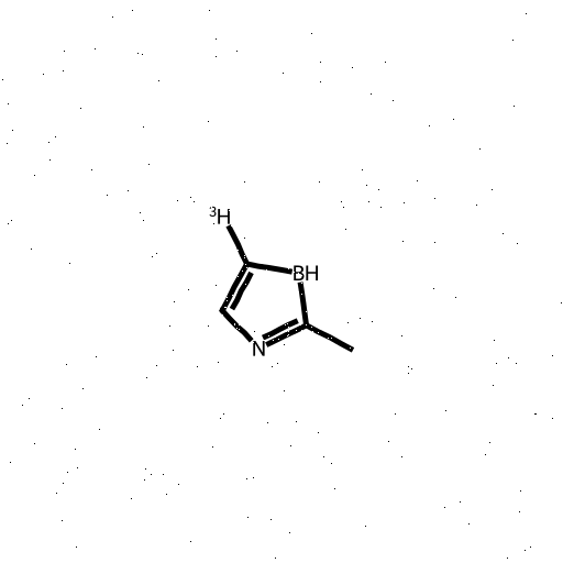 [3H]C1=CN=C(C)B1